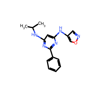 CC(C)Nc1cc(Nc2cnoc2)nc(-c2ccccc2)n1